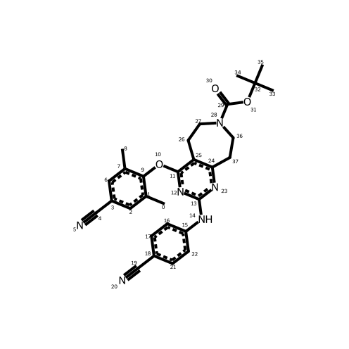 Cc1cc(C#N)cc(C)c1Oc1nc(Nc2ccc(C#N)cc2)nc2c1CCN(C(=O)OC(C)(C)C)CC2